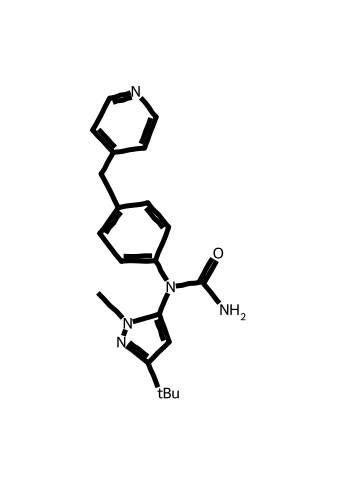 Cn1nc(C(C)(C)C)cc1N(C(N)=O)c1ccc(Cc2ccncc2)cc1